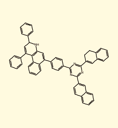 C1=C(c2nc(-c3ccc(-c4cc5c(c6ccccc46)C(c4ccccc4)=CC(c4ccccc4)N5)cc3)nc(-c3ccc4ccccc4c3)n2)CCc2ccccc21